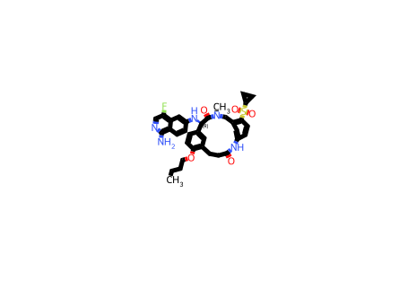 CCCCOc1ccc2cc1CCC(=O)Nc1ccc(S(=O)(=O)C3CC3)c(c1)CN(C)C(=O)[C@@H]2Nc1ccc2c(N)ncc(F)c2c1